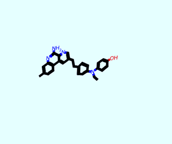 CCN(c1ccc(O)cc1)c1ccc(CCc2cnc3c(N)nc4cc(C)ccc4c3c2)cc1